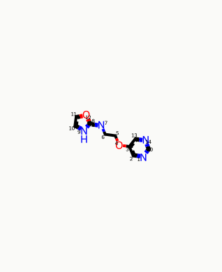 c1ncc(OCCN=c2[nH]cco2)cn1